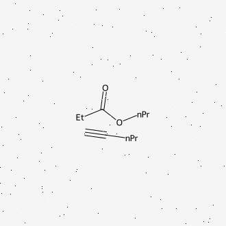 C#CCCC.CCCOC(=O)CC